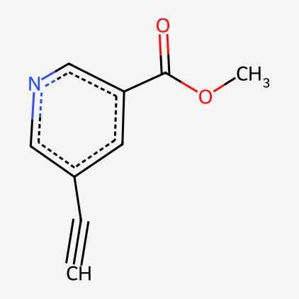 C#Cc1cncc(C(=O)OC)c1